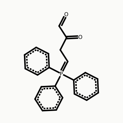 O=CC(=O)CC=P(c1ccccc1)(c1ccccc1)c1ccccc1